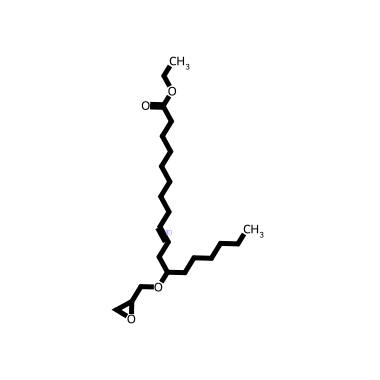 CCCCCCC(C/C=C/CCCCCCCC(=O)OCC)OCC1CO1